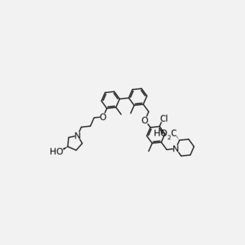 Cc1cc(OCc2cccc(-c3cccc(OCCCN4CC[C@@H](O)C4)c3C)c2C)c(Cl)cc1CN1CCCC[C@H]1C(=O)O